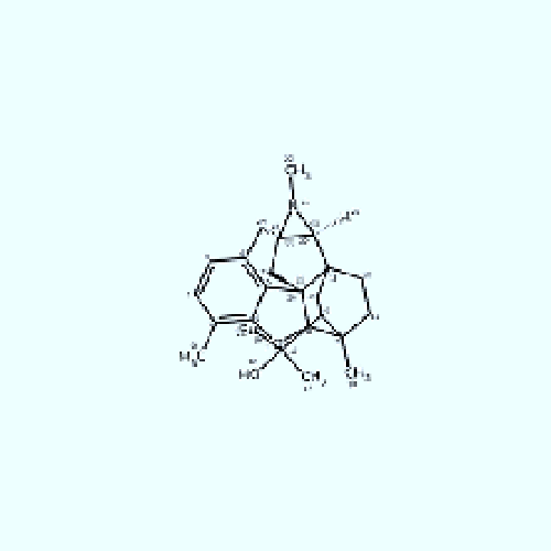 Cc1ccc2c3c1OC1C4(C)CCC5(CC4C(C)(O)C(C)(C)C)[C@@H]4N(C)[C@]4(C2)C[C@]315